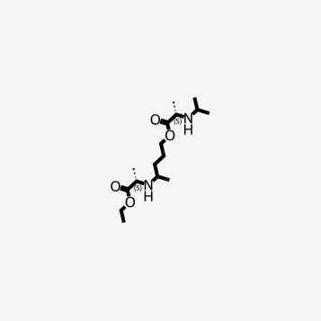 CCOC(=O)[C@H](C)NC(C)CCCOC(=O)[C@H](C)NC(C)C